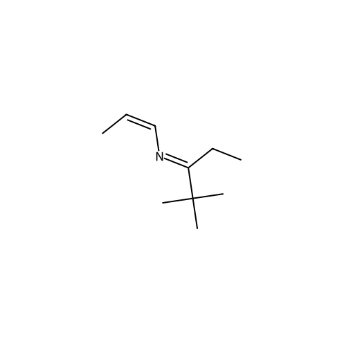 C/C=C\N=C(/CC)C(C)(C)C